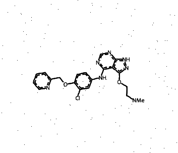 CNCCOc1n[nH]c2ncnc(Nc3ccc(OCc4ccccn4)c(Cl)c3)c12